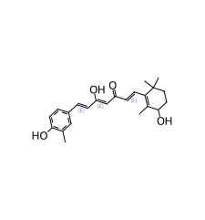 CC1=C(/C=C/C(=O)/C=C(O)/C=C/c2ccc(O)c(C)c2)C(C)(C)CCC1O